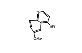 [CH2]Oc1ccc2nccc(CCC)c2c1